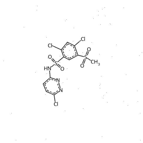 CS(=O)(=O)c1cc(S(=O)(=O)Nc2ccc(Cl)nn2)c(Cl)cc1Cl